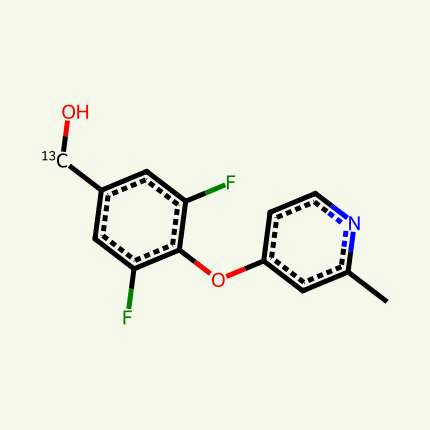 Cc1cc(Oc2c(F)cc([13CH2]O)cc2F)ccn1